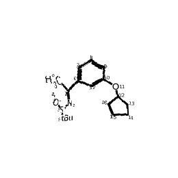 CC(=N[S+]([O-])C(C)(C)C)c1cccc(OC2CCCC2)c1